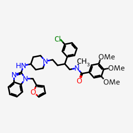 COc1cc(C(=O)N(C)CC(CCN2CCC(Nc3nc4ccccc4n3Cc3ccco3)CC2)c2cccc(Cl)c2)cc(OC)c1OC